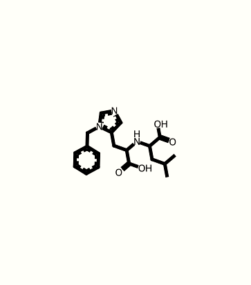 CC(C)CC(NC(Cc1cncn1Cc1ccccc1)C(=O)O)C(=O)O